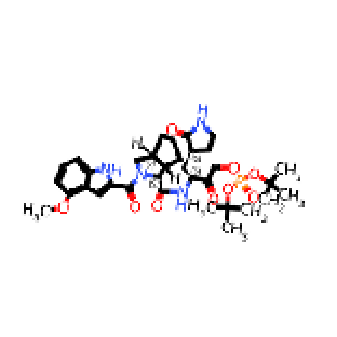 COc1cccc2[nH]c(C(=O)N3C[C@@H]4CCC[C@@H]4[C@H]3C(=O)N[C@@H](C[C@@H]3CCNC3=O)C(=O)COP(=O)(OC(C)(C)C)OC(C)(C)C)cc12